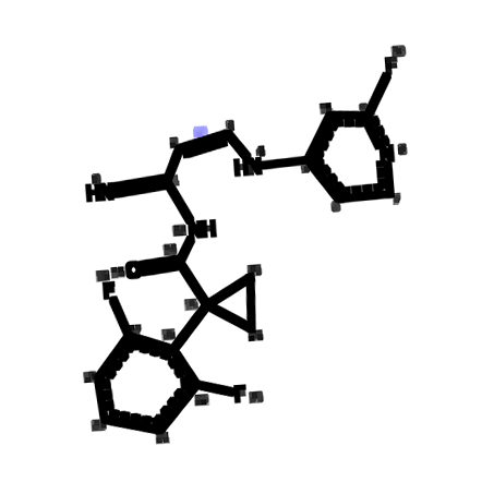 N=C(/C=C\Nc1ccnc(F)c1)NC(=O)C1(c2c(F)cccc2F)CC1